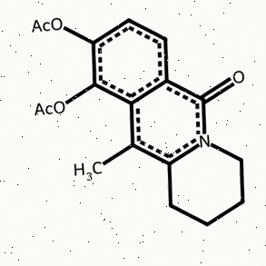 CC(=O)Oc1ccc2c(=O)n3c(c(C)c2c1OC(C)=O)CCCC3